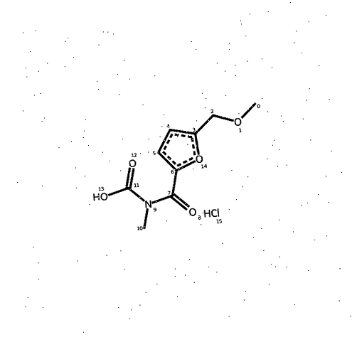 COCc1ccc(C(=O)N(C)C(=O)O)o1.Cl